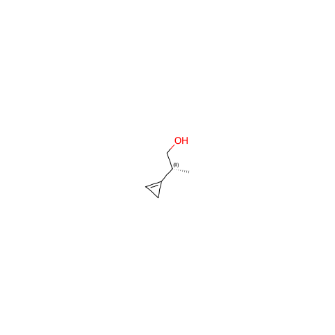 C[C@@H](CO)C1=CC1